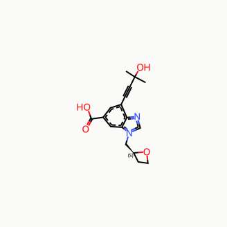 CC(C)(O)C#Cc1cc(C(=O)O)cc2c1ncn2C[C@@H]1CCO1